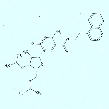 CC(C)OC[C@H]1O[C@@H](n2cc(C(=O)NCCc3cccc4ccccc34)c(N)nc2=O)C(C)[C@H]1OC(C)C